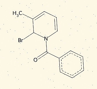 CC1=CC=CN(C(=O)c2ccccc2)C1Br